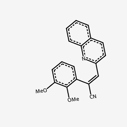 COc1cccc(C(C#N)=Cc2ccc3ccccc3n2)c1OC